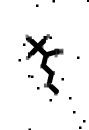 CSCCC(O)C(F)(F)F